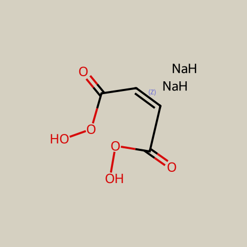 O=C(/C=C\C(=O)OO)OO.[NaH].[NaH]